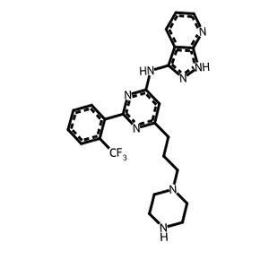 FC(F)(F)c1ccccc1-c1nc(CCCN2CCNCC2)cc(Nc2n[nH]c3ncccc23)n1